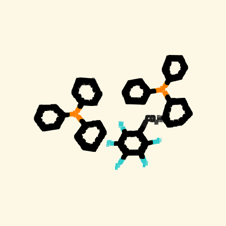 O=C(O)c1c(F)c(F)c(F)c(F)c1F.c1ccc(P(c2ccccc2)c2ccccc2)cc1.c1ccc(P(c2ccccc2)c2ccccc2)cc1